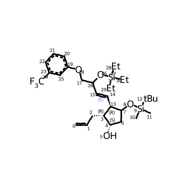 C=CC[C@H]1[C@@H](O)CC(O[Si](C)(C)C(C)(C)C)[C@@H]1/C=C/C(COc1cccc(C(F)(F)F)c1)O[Si](CC)(CC)CC